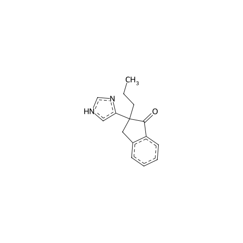 CCCC1(c2c[nH]cn2)Cc2ccccc2C1=O